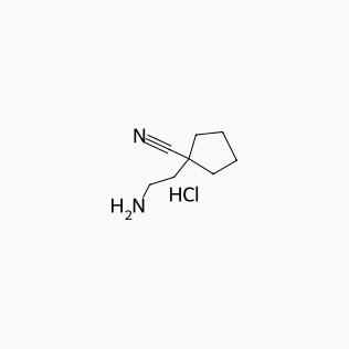 Cl.N#CC1(CCN)CCCC1